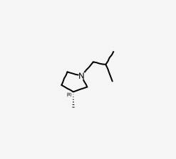 CC(C)CN1CC[C@@H](C)C1